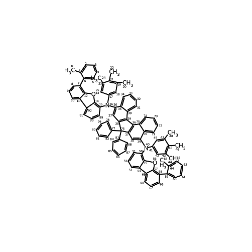 Cc1ccccc1-c1cccc2c1oc1c(N(c3cc(C)c(C)c(C)c3)c3cc4c(c5ccccc35)-c3c(cc(N(c5cc(C)c(C)c(C)c5)c5cccc6c5oc5c(-c7ccccc7C)cccc56)c5ccccc35)C4(c3ccccc3)c3ccccc3)cccc12